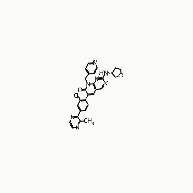 Cc1nccnc1-c1ccc(-c2cc3cnc(N[C@H]4CCOC4)nc3n(Cc3ccncc3)c2=O)c(Cl)c1